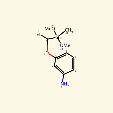 CCC(Oc1cccc(N)c1)[Si](C)(OC)OC